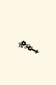 CC(C)(C)C#Cc1ccc(C(=O)Nc2cccc(S(C)(=O)=O)c2)cn1